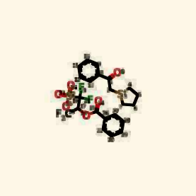 O=C(C[S+]1CCCC1)c1ccccc1.O=C(OC(C(F)(F)F)C(F)(F)S(=O)(=O)[O-])c1ccccc1